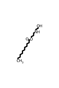 CCCCCCCCCCCC(=O)OCCCNCCO